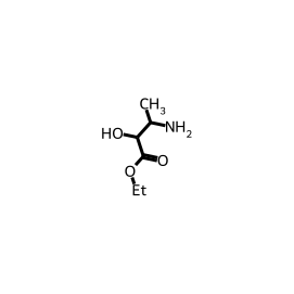 CCOC(=O)C(O)C(C)N